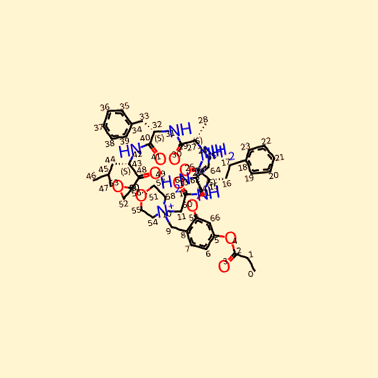 CCC(=O)Oc1ccc(C[N+]2(CC(=O)N[C@@H](CCc3ccccc3)C(=O)N[C@@H](C)C(=O)N[C@@H](Cc3ccccc3)C(=O)N[C@@H](CC(C)C)C(=O)[C@@]3(C)CO3)CCOCC2)c(OC/C(N)=C/N)c1